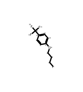 [CH2]CCCOc1ccc(C(F)(F)F)cc1